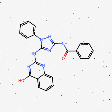 O=C(Nc1nc(Nc2nc(O)c3ccccc3n2)n(-c2ccccc2)n1)c1ccccc1